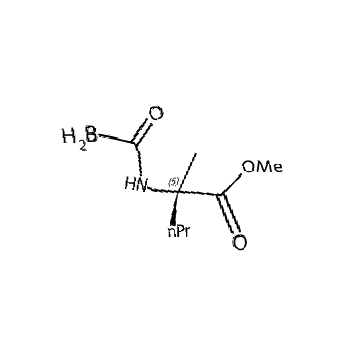 BC(=O)N[C@@](C)(CCC)C(=O)OC